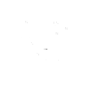 C=CC(=O)N1CCN(C(=O)CC#N)C[C@H]1c1cc(Cl)cc(-c2ccnc(N)n2)c1